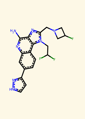 Nc1nc2cc(-c3cc[nH]n3)ccc2c2c1nc(CN1CC(F)C1)n2CC(F)F